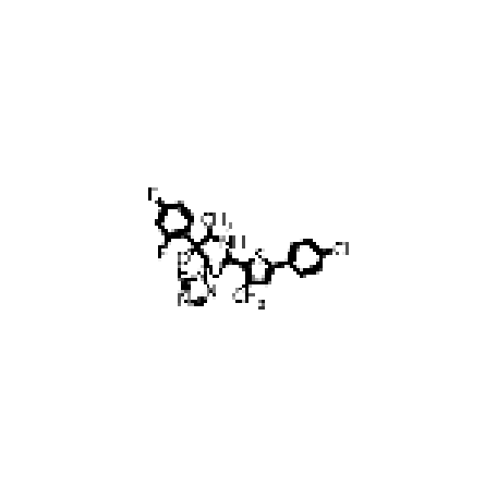 Cc1cc(-c2ccc(Cl)cc2)sc1C(=O)NC(C)C(O)(Cn1cncn1)c1ccc(F)cc1F